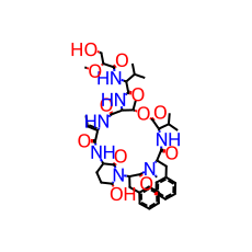 C/C=C1\NC(=O)C(NC(=O)C(NC(=O)C(CO)OC)C(C)C)C(C)OC(=O)C(C(C)C)NC(=O)C(Cc2ccccc2)N(C)C(=O)C(Cc2ccccc2)N2C(=O)C(CCC2O)NC1=O